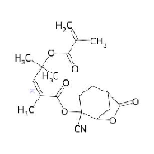 C=C(C)C(=O)OC(C)(C)/C=C(/C)C(=O)OC1(C#N)CCC2CC1OC2=O